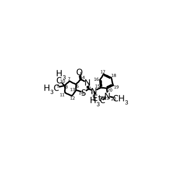 CCN(C1=NC(=O)C2CC(C)(C)CCC2S1)c1ccccc1N(C)C